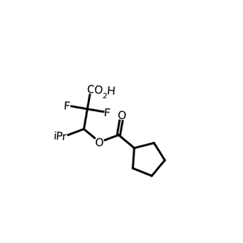 CC(C)C(OC(=O)C1CCCC1)C(F)(F)C(=O)O